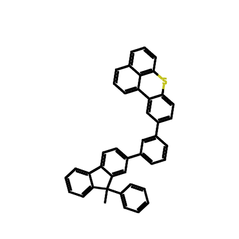 CC1(c2ccccc2)c2ccccc2-c2ccc(-c3cccc(-c4ccc5c(c4)-c4cccc6cccc(c46)S5)c3)cc21